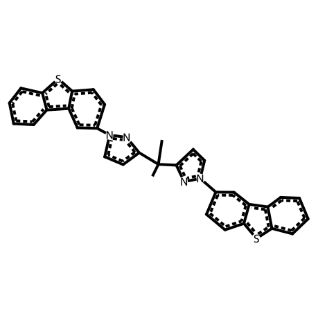 CC(C)(c1ccn(-c2ccc3sc4ccccc4c3c2)n1)c1ccn(-c2ccc3sc4ccccc4c3c2)n1